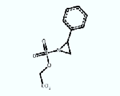 O=S(=O)(OCC(Cl)(Cl)Cl)N1CC1c1ccccc1